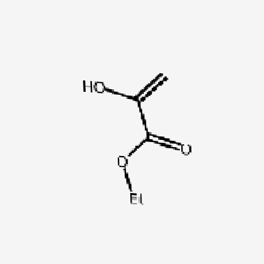 C=C(O)C(=O)OCC